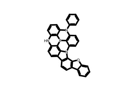 c1ccc(N2c3cccc4c3B3c5c2cccc5-n2c5c3c(ccc5c3ccc5c6ccccc6oc5c32)N4)cc1